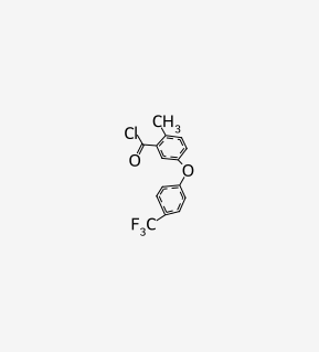 Cc1ccc(Oc2ccc(C(F)(F)F)cc2)cc1C(=O)Cl